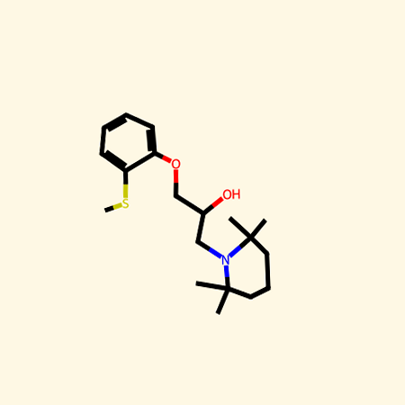 CSc1ccccc1OCC(O)CN1C(C)(C)CCCC1(C)C